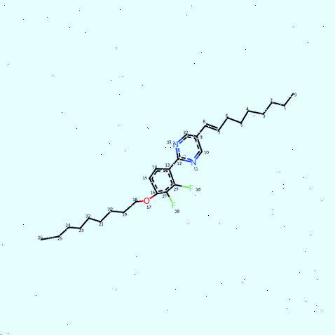 CCCCCCCC=Cc1cnc(-c2ccc(OCCCCCCCCC)c(F)c2F)nc1